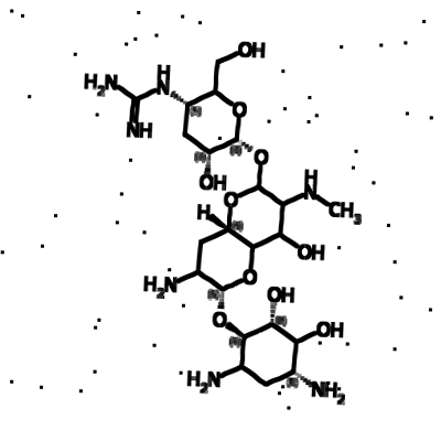 CNC1C(O[C@H]2OC(CO)[C@@H](NC(=N)N)C[C@H]2O)O[C@H]2CC(N)[C@@H](O[C@@H]3C(N)C[C@@H](N)C(O)[C@H]3O)OC2C1O